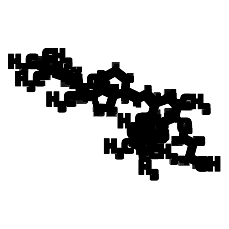 C=C1/C(=C\C=C2/CCC[C@@]3(C)C2CC[C@@H]3[C@H](C)CC#CC(C)(C)C)C[C@@H](C)[C@H](OCCCO)[C@@H]1O[Si](C)(C)C(C)(C)C